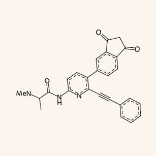 CNC(C)C(=O)Nc1ccc(-c2ccc3c(c2)C(=O)CC3=O)c(C#Cc2ccccc2)n1